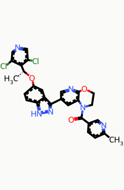 Cc1ccc(C(=O)N2CCOc3ncc(-c4n[nH]c5ccc(O[C@H](C)c6c(Cl)cncc6Cl)cc45)cc32)cn1